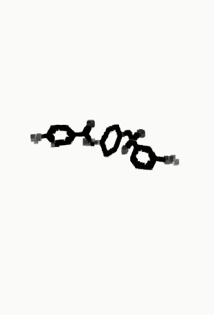 O=C(N[C@H]1CC[C@H](CS(=O)(=O)c2cccc(C(F)(F)F)c2)CC1)c1ccc(C(F)(F)F)nc1